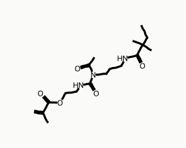 C=C(C)C(=O)OCCNC(=O)N(CCCNC(=O)C(C)(C)CC)C(C)=O